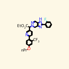 CCCOc1ccc(-c2ccc(C(C(=O)OCC)N3Cc4nc(-c5ccccc5F)[nH]c4C=N3)cn2)c(C(F)(F)F)c1